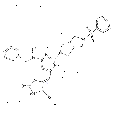 CN(Cc1ccccc1)c1cc(/C=C2\SC(=O)NC2=O)nc(N2CC3CN(S(=O)(=O)c4ccccc4)CC3C2)n1